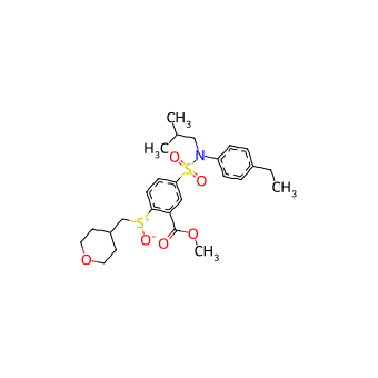 CCc1ccc(N(CC(C)C)S(=O)(=O)c2ccc([S+]([O-])CC3CCOCC3)c(C(=O)OC)c2)cc1